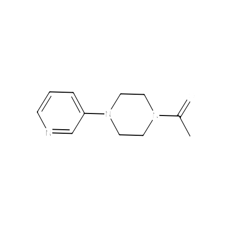 CC(=O)N1CCN(c2cc[c]nc2)CC1